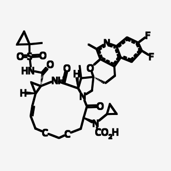 Cc1nc2cc(F)c(F)cc2c2c1O[C@@]1(CC2)CN2C(=O)[C@@H](N(C(=O)O)C3CC3)CCCCC/C=C\[C@@H]3C[C@@]3(C(=O)NS(=O)(=O)C3(C)CC3)NC(=O)[C@@H]2C1C